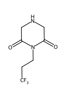 O=C1CNCC(=O)N1CCC(F)(F)F